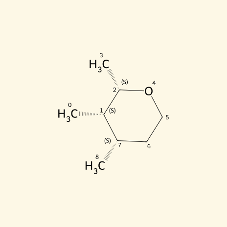 C[C@@H]1[C@H](C)OCC[C@@H]1C